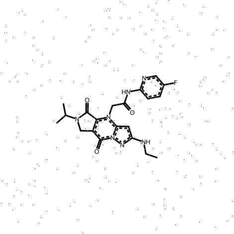 CCNc1cc2n(CC(=O)Nc3ccc(F)cn3)c3c(c(=O)n2n1)CN(C(C)C)C3=O